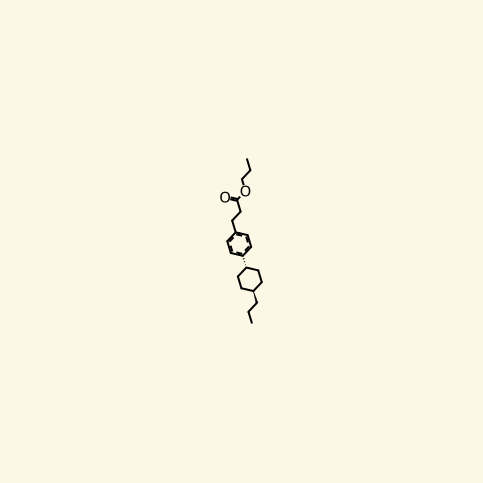 CCCOC(=O)CCc1ccc([C@H]2CC[C@H](CCC)CC2)cc1